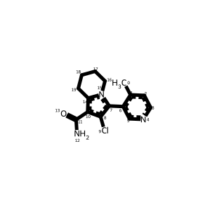 Cc1ccncc1-c1c(Cl)c(C(N)=O)c2n1CCCC2